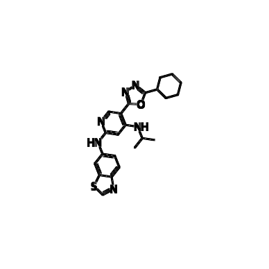 CC(C)Nc1cc(Nc2ccc3ncsc3c2)ncc1-c1nnc(C2CCCCC2)o1